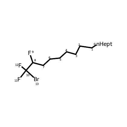 CCCCCCCCCCCCCCC(F)C(F)(F)Br